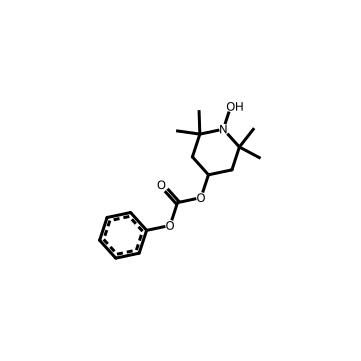 CC1(C)CC(OC(=O)Oc2ccccc2)CC(C)(C)N1O